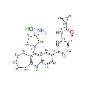 Cl.N[C@H]1CCN(c2c3c(nc4ccc(-c5nccc(NC(=O)C6CC6)n5)cc24)CCCCC3)C1